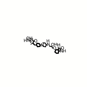 O=C1N=C(NO)SC1=Cc1ccc(N2CCC(NC[C@@H](O)COc3cccc4[nH]c(=O)[nH]c34)CC2)cc1